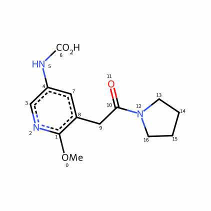 COc1ncc(NC(=O)O)cc1CC(=O)N1CCCC1